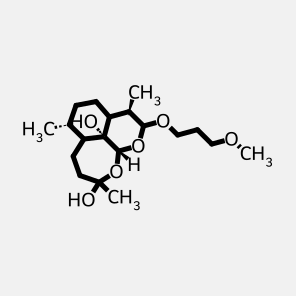 COCCCOC1O[C@@H]2OC(C)(O)CCC3[C@H](C)CCC([C@H]1C)[C@]32O